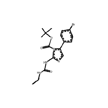 CCNC(=O)Nc1ncc(-c2ccc(Br)cc2)n1C(=O)OC(C)(C)C